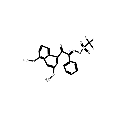 COc1cc(C(=O)/C(=N/OS(=O)(=O)C(F)(F)F)c2ccccc2)c2cccc(OC)c2c1